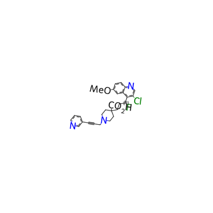 COc1ccc2ncc(Cl)c([C@H](F)CCC3(C(=O)O)CCN(CC#Cc4cccnc4)CC3)c2c1